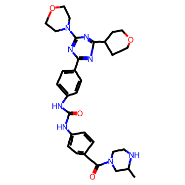 CC1CN(C(=O)c2ccc(NC(=O)Nc3ccc(-c4nc(C5CCOCC5)nc(N5CCOCC5)n4)cc3)cc2)CCN1